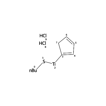 CCCC[S][Ti][C]1=CC=CC1.Cl.Cl